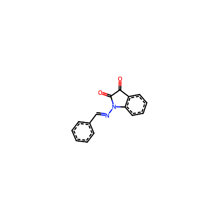 O=C1C(=O)N(/N=C/c2ccccc2)c2ccccc21